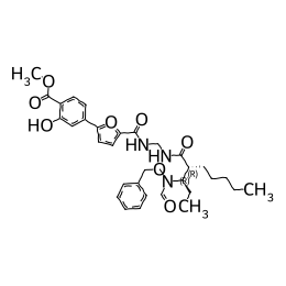 CCCCC[C@@H](C(=O)NCNC(=O)c1ccc(-c2ccc(C(=O)OC)c(O)c2)o1)[C@@H](CC)N(C=O)OCc1ccccc1